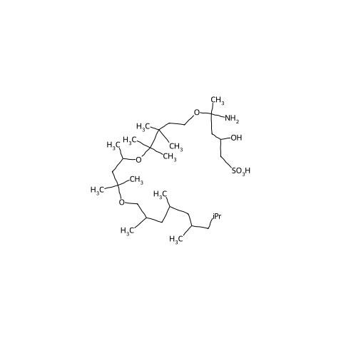 CC(C)CC(C)CC(C)CC(C)COC(C)(C)CC(C)OC(C)(C)C(C)(C)CCOC(C)(N)CC(O)CS(=O)(=O)O